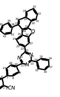 N#Cc1ccccc1-c1ccc(-c2nc(-c3ccccc3)nc(-c3ccc4c(c3)oc3c5ccccc5cc(-c5ccccc5)c43)n2)cc1